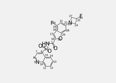 O=C(NS(=O)(=O)c1ccnc2ccccc12)c1cc2c(F)cc(N3CC(F)C3)cc2o1